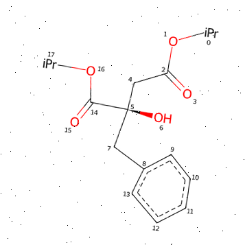 CC(C)OC(=O)C[C@](O)(Cc1ccccc1)C(=O)OC(C)C